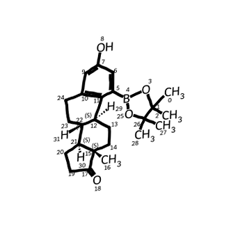 CC1(C)OB(c2cc(O)cc3c2[C@H]2CC[C@]4(C)C(=O)CC[C@H]4[C@@H]2CC3)OC1(C)C